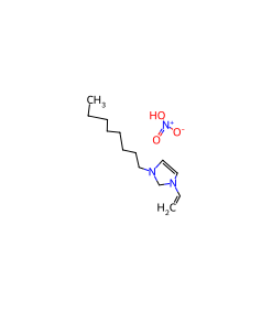 C=CN1C=CN(CCCCCCCC)C1.O=[N+]([O-])O